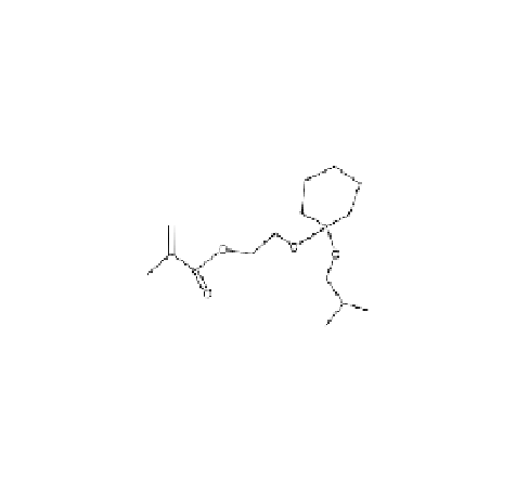 C=C(C)C(=O)OCCOC1(OCC(C)C)CCCCC1